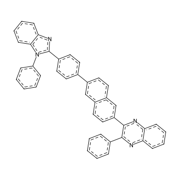 c1ccc(-c2nc3ccccc3nc2-c2ccc3cc(-c4ccc(-c5nc6ccccc6n5-c5ccccc5)cc4)ccc3c2)cc1